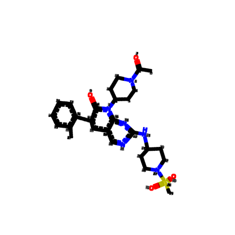 CC(=O)N1CCC(n2c(=O)c(-c3ccccc3C)cc3cnc(NC4CCN(S(C)(=O)=O)CC4)nc32)CC1